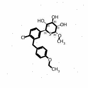 CCOc1ccc(Cc2cc([C@@H]3S[C@@H](OC)[C@@H](O)[C@H](O)[C@H]3O)ccc2Cl)cc1